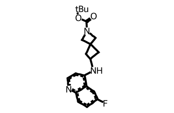 CC(C)(C)OC(=O)N1CC2(CC(Nc3ccnc4ccc(F)cc34)C2)C1